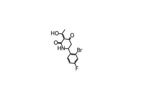 CC(O)=C1C(=O)CC(c2ccc(F)cc2Br)NC1=O